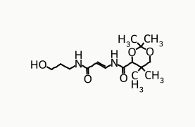 CC1(C)OCC(C)(C)C(C(=O)NC=CC(=O)NCCCO)O1